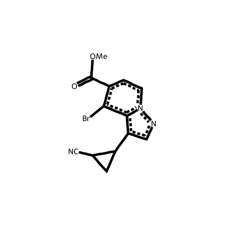 COC(=O)c1ccn2ncc(C3CC3C#N)c2c1Br